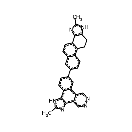 Cc1nc2c([nH]1)CCc1c-2ccc2cc(-c3ccc4c(c3)c3cnncc3c3nc(C)[nH]c43)ccc12